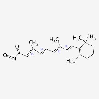 CC1=C(/C=C/C(C)=C/C=C/C(C)=C/C(=O)N=O)C(C)(C)CCC1